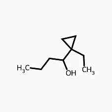 CCCC(O)C1(CC)CC1